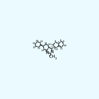 Cc1nc(-c2ccc3ccccc3c2)c2ccc(-c3ccccc3)cc2n1